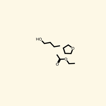 C1CCOC1.CCCCO.CCOC(C)=O